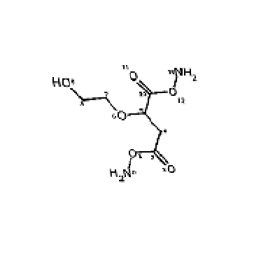 NOC(=O)CC(OCCO)C(=O)ON